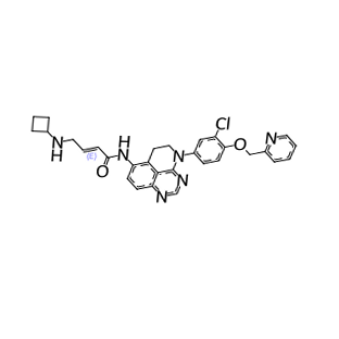 O=C(/C=C/CNC1CCC1)Nc1ccc2ncnc3c2c1CCN3c1ccc(OCc2ccccn2)c(Cl)c1